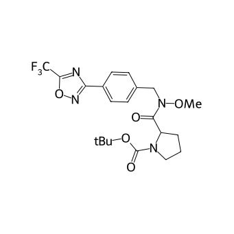 CON(Cc1ccc(-c2noc(C(F)(F)F)n2)cc1)C(=O)C1CCCN1C(=O)OC(C)(C)C